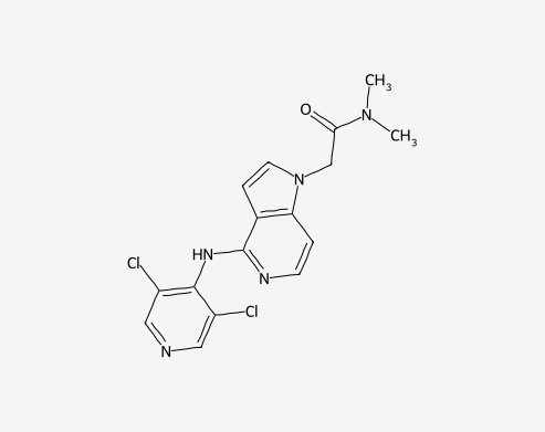 CN(C)C(=O)Cn1ccc2c(Nc3c(Cl)cncc3Cl)nccc21